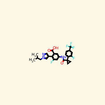 CC(C)Cn1cc(-c2c(F)cc(NC(=O)C3(c4ccc(C(F)(F)F)cc4F)CC3)cc2C(=O)O)cn1